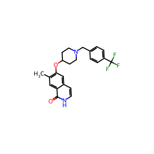 Cc1cc2c(=O)[nH]ccc2cc1OC1CCN(Cc2ccc(C(F)(F)F)cc2)CC1